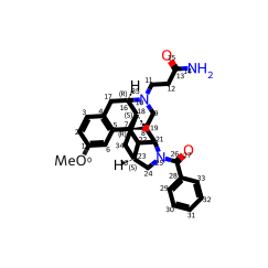 COc1ccc2c(c1)[C@]13CCN(CCC(N)=O)[C@H](C2)[C@]12CCC1C3[C@@H](CN1C(=O)c1ccccc1)C2